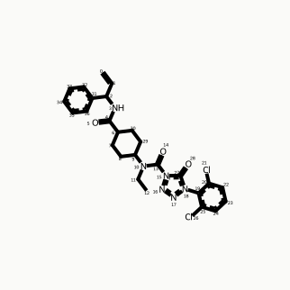 C=CC(NC(=O)C1CCC(N(CC)C(=O)n2nnn(-c3c(Cl)cccc3Cl)c2=O)CC1)c1ccccc1